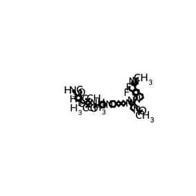 COc1cc(OC2C(C)(C)C(NC(=O)c3ccc(N4CCC5(CC4)CC4(CC(n6nc(N7CCCc8cc(-c9cnn(C)c9)c(C(F)F)cc87)c7c6CCN(C(C)=O)C7)C4)C5)cc3)C2(C)C)ccc1C#N